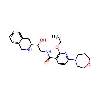 CCOc1nc(N2CCCOCC2)ccc1C(=O)NC[C@@H](O)[C@@H]1Cc2ccccc2CN1